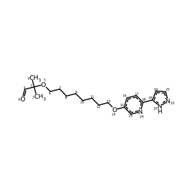 CC(C)(C=O)OCCCCCCCCOc1ccc(-c2ccn[nH]2)nc1